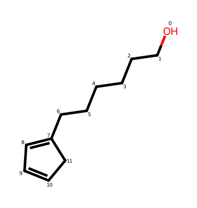 OCCCCCCC1=CC=CC1